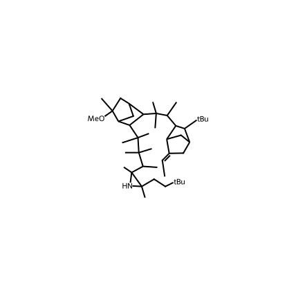 C/C=C1\CC2CC1C(C(C)C(C)(C)C1C3CC(C1C(C)(C)C(C)(C)C(C)C1(C)NC1(C)CCC(C)(C)C)C(C)(OC)C3)C2C(C)(C)C